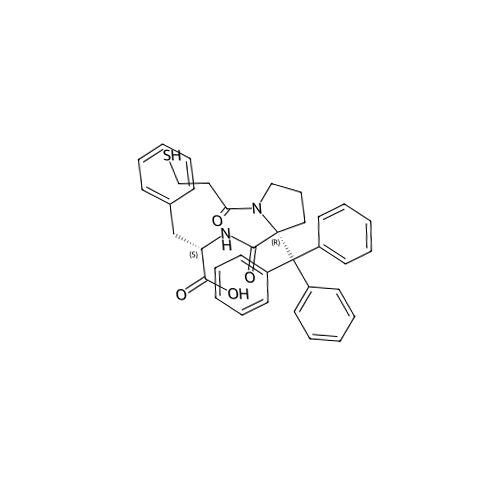 O=C(O)[C@H](Cc1ccccc1)NC(=O)[C@]1(C(c2ccccc2)(c2ccccc2)c2ccccc2)CCCN1C(=O)CCS